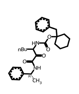 CCCCC(NC(=O)OC1(Cc2ccccc2)CCCCC1)C(=O)C(=O)N[C@H](C)c1ccccc1